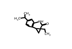 CCC12CC1c1ccc(C(C)C)cc1NC2=O